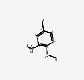 CNc1cc(C)ccc1SC